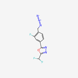 [N-]=[N+]=NCc1ccc(-c2nnc(C(F)F)o2)cc1F